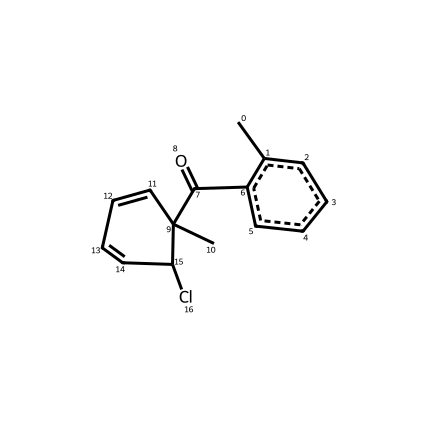 Cc1ccccc1C(=O)C1(C)C=CC=CC1Cl